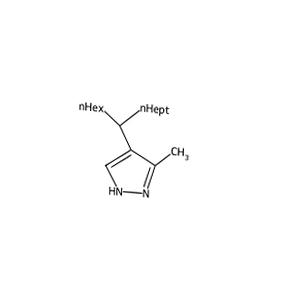 CCCCCCCC(CCCCCC)c1c[nH]nc1C